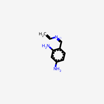 C=C/N=C\c1ccc(N)cc1N